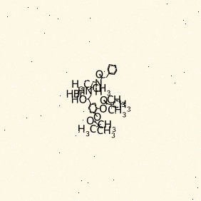 Br.CC(C)(CNC(=O)Cc1ccccc1)NCC(O)c1ccc(OC(=O)C(C)(C)C)c(OC(=O)C(C)(C)C)c1